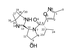 Cc1cc([C@@H](C(=O)N2C[C@H](O)C[C@H]2C2=NC(C)(C)C(C)(C)N2)C(C)C)on1